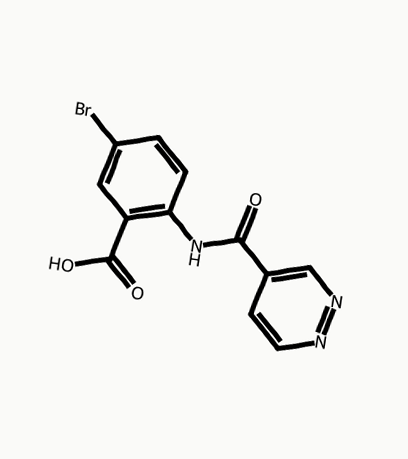 O=C(Nc1ccc(Br)cc1C(=O)O)c1ccnnc1